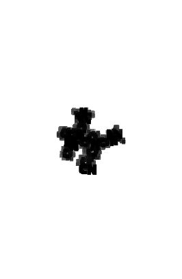 Cc1nc(C)nc(-c2ccc3c(c2)c2ccccc2n3-c2ccc(-c3ccc(C#N)cc3)cc2-c2ccc(-n3c4ccccc4c4cc(-c5nc(C)nc(C)n5)ccc43)c(-c3nc(-c4ccccc4)nc(-c4ccccc4)n3)c2)n1